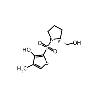 Cc1csc(S(=O)(=O)N2CCC[C@@H]2CO)c1O